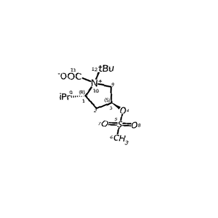 CC(C)[C@H]1C[C@H](OS(C)(=O)=O)C[N+]1(C(=O)[O-])C(C)(C)C